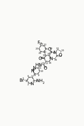 Nc1ncc(Br)cc1-c1ccc(NC(=O)c2cn3c(c(-c4ccc(F)cc4)c2=O)C(=O)N2CCOC2C3)nn1